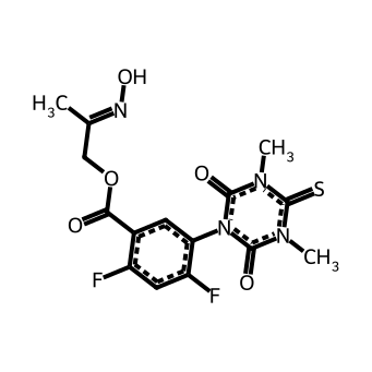 CC(COC(=O)c1cc(-n2c(=O)n(C)c(=S)n(C)c2=O)c(F)cc1F)=NO